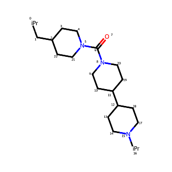 CC(C)CC1CCN(C(=O)N2CCC(C3CCN(C(C)C)CC3)CC2)CC1